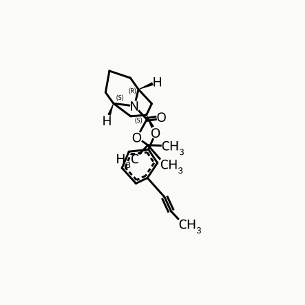 CC#Cc1cccc(O[C@@H]2C[C@H]3CCC[C@@H](C2)N3C(=O)OC(C)(C)C)c1